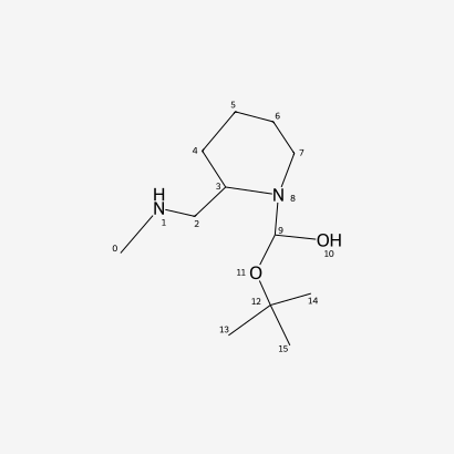 CNCC1CCCCN1C(O)OC(C)(C)C